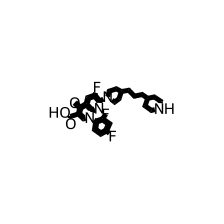 O=C(O)c1cn(-c2ccc(F)cc2F)c2nc(N3CCC(CCCC4CCNCC4)CC3)c(F)cc2c1=O